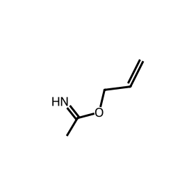 C=CCOC(C)=N